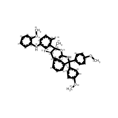 COc1ccc(C(NC2=NC[C@@H](F)[C@@](C)(c3cc(Nc4ccccc4OC)ccc3F)O2)(c2ccccc2)c2ccc(OC)cc2)cc1